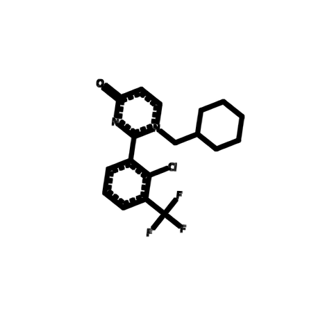 O=c1ccn(CC2CCCCC2)c(-c2cccc(C(F)(F)F)c2Cl)n1